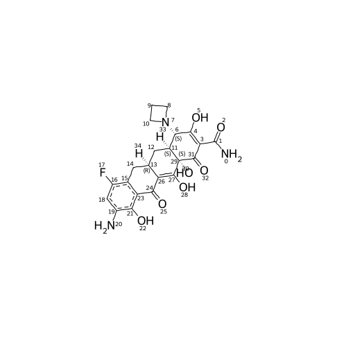 NC(=O)C1=C(O)[C@@H](N2CCC2)[C@@H]2C[C@@H]3Cc4c(F)cc(N)c(O)c4C(=O)C3=C(O)[C@]2(O)C1=O